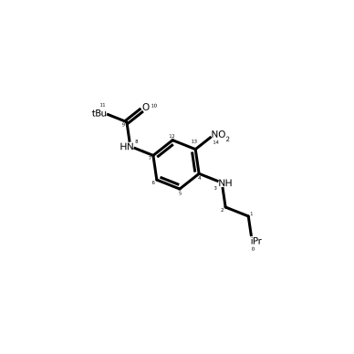 CC(C)CCNc1ccc(NC(=O)C(C)(C)C)cc1[N+](=O)[O-]